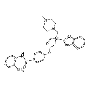 CN1CCN(C[N+](C=O)(CCOc2ccc(C(=O)Nc3ccccc3N)cc2)c2cc3ccccc3o2)CC1